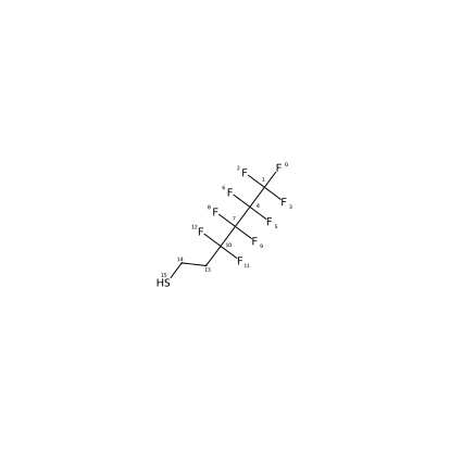 FC(F)(F)C(F)(F)C(F)(F)C(F)(F)CCS